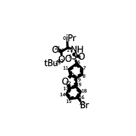 CC(C)C(NS(=O)(=O)c1ccc2c(c1)oc1ccc(Br)cc12)C(=O)OC(C)(C)C